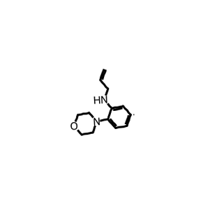 C=CCNc1c[c]ccc1N1CCOCC1